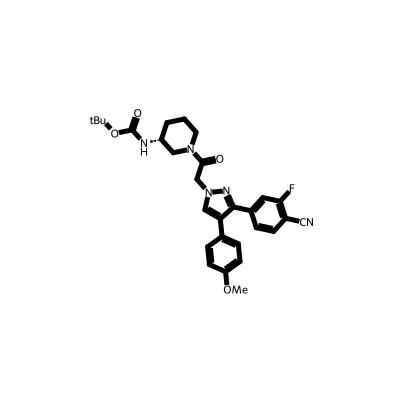 COc1ccc(-c2cn(CC(=O)N3CCC[C@@H](NC(=O)OC(C)(C)C)C3)nc2-c2ccc(C#N)c(F)c2)cc1